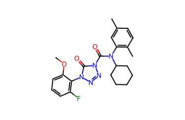 COc1cccc(F)c1-n1nnn(C(=O)N(c2cc(C)ccc2C)C2CCCCC2)c1=O